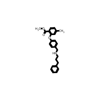 COC(=O)c1ccc(C)cc1Oc1ccc(CNCCCc2ccccc2)cc1